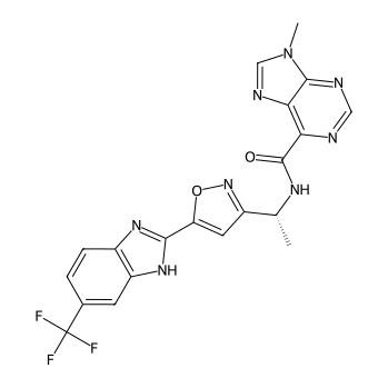 C[C@@H](NC(=O)c1ncnc2c1ncn2C)c1cc(-c2nc3ccc(C(F)(F)F)cc3[nH]2)on1